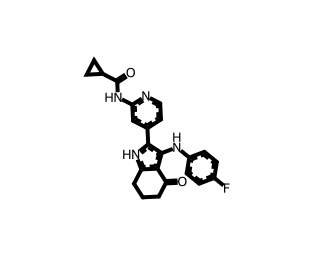 O=C1CCCc2[nH]c(-c3ccnc(NC(=O)C4CC4)c3)c(Nc3ccc(F)cc3)c21